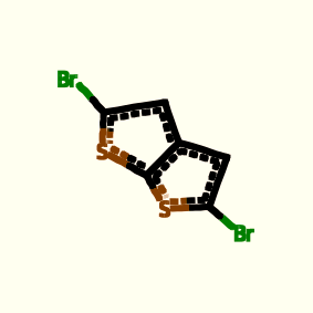 Brc1cc2cc(Br)sc2s1